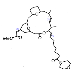 COC(=O)/C=C1\CC2CC(=O)OC(/C=C/CCCCCC(=O)N3CCOCC3)C(C)/C=C/C(C)CC3CCCC(CC(C1)O2)O3